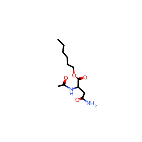 CCCCCCOC(=O)C(CC(N)=O)NC(C)=O